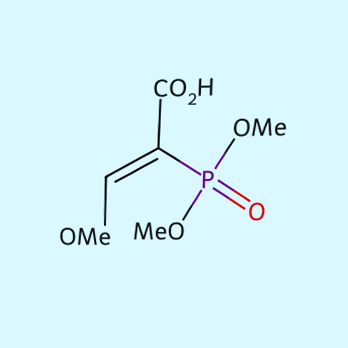 COC=C(C(=O)O)P(=O)(OC)OC